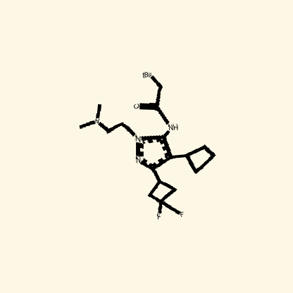 CN(C)CCn1nc(C2CC(F)(F)C2)c(C2CCC2)c1NC(=O)CC(C)(C)C